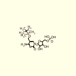 CC(C)(C)[Si](C)(C)OCc1cn([C@@H]2OC(COP(=O)(O)O)[C@@H](O)[C@H]2O)c(=O)nc1N